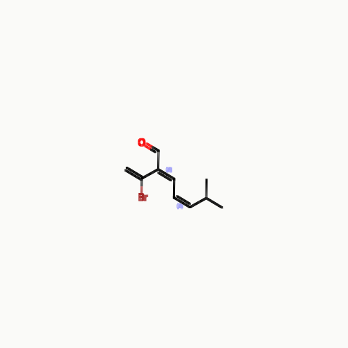 C=C(Br)/C(C=O)=C\C=C/C(C)C